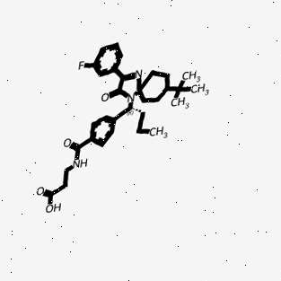 CCC[C@H](c1ccc(C(=O)NCCC(=O)O)cc1)N1C(=O)C(c2cccc(F)c2)=NC12CCC(C(C)(C)C)CC2